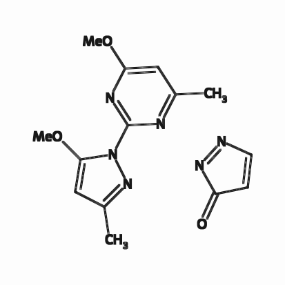 COc1cc(C)nc(-n2nc(C)cc2OC)n1.O=C1C=CN=N1